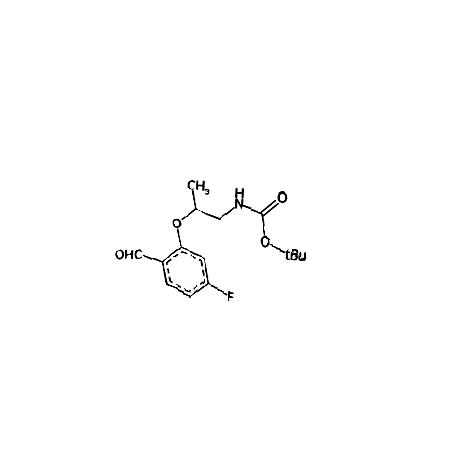 CC(CNC(=O)OC(C)(C)C)Oc1cc(F)ccc1C=O